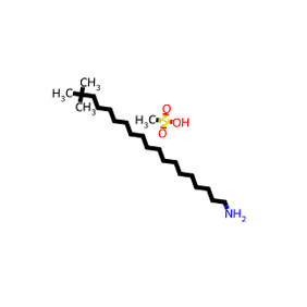 CC(C)(C)CCCCCCCCCCCCCCCCCN.CS(=O)(=O)O